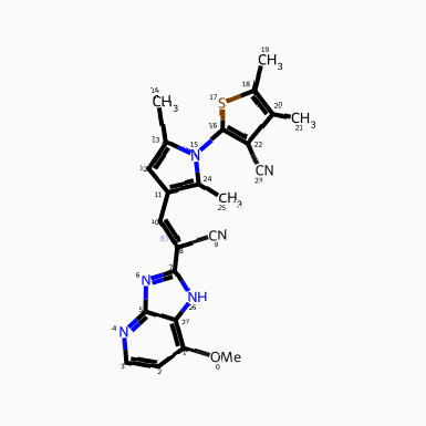 COc1ccnc2nc(/C(C#N)=C/c3cc(C)n(-c4sc(C)c(C)c4C#N)c3C)[nH]c12